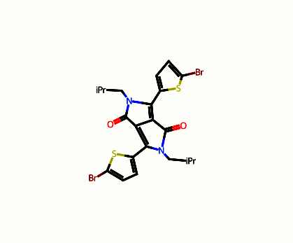 CC(C)CN1C(=O)C2=C(c3ccc(Br)s3)N(CC(C)C)C(=O)C2=C1c1ccc(Br)s1